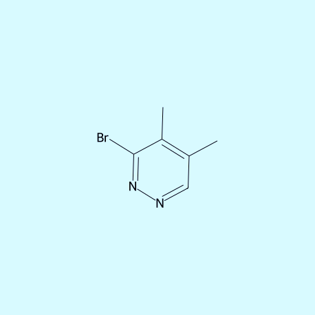 Cc1cnnc(Br)c1C